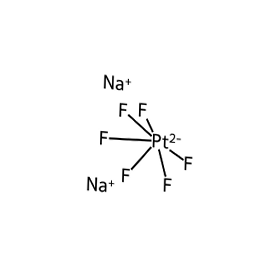 [F][Pt-2]([F])([F])([F])([F])[F].[Na+].[Na+]